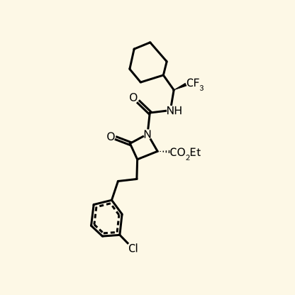 CCOC(=O)[C@@H]1C(CCc2cccc(Cl)c2)C(=O)N1C(=O)N[C@@H](C1CCCCC1)C(F)(F)F